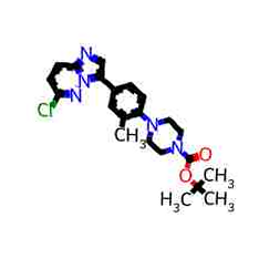 Cc1cc(-c2cnc3ccc(Cl)nn23)ccc1N1CCN(C(=O)OC(C)(C)C)CC1